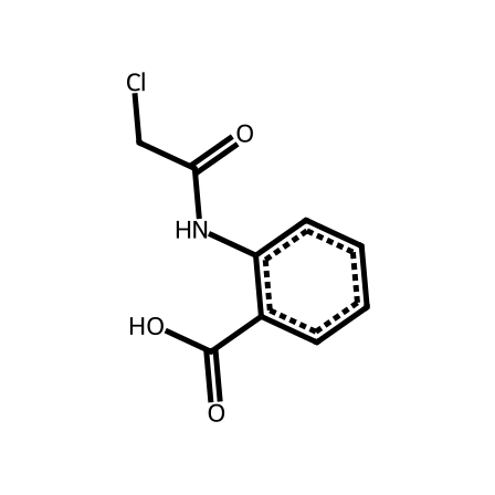 O=C(CCl)Nc1ccccc1C(=O)O